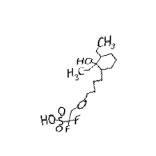 CCC1CCCC(CCCCOCC(F)(F)S(=O)(=O)O)C1(O)CC